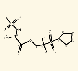 CC(C)[C@H](NS(C)(=O)=O)C(=O)OCC(C)(C)S(=O)(=O)N1CCCC1